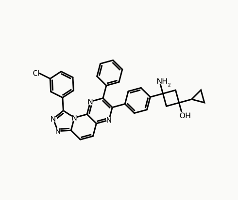 NC1(c2ccc(-c3nc4ccc5nnc(-c6cccc(Cl)c6)n5c4nc3-c3ccccc3)cc2)CC(O)(C2CC2)C1